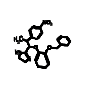 CC(c1ccc([N+](=O)[O-])cc1)C(Oc1ccccc1OCc1ccccc1)C1=NCCN1